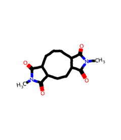 CN1C(=O)C2CCCC3C(=O)N(C)C(=O)C3CCC2C1=O